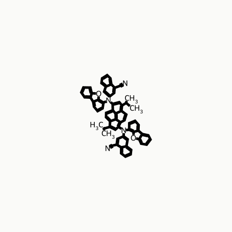 CC(C)c1cc(N(c2cc(C#N)c3ccccc3c2)c2cccc3c2oc2ccccc23)c2ccc3c(C(C)C)cc(N(c4cc(C#N)c5ccccc5c4)c4cccc5c4oc4ccccc45)c4ccc1c2c34